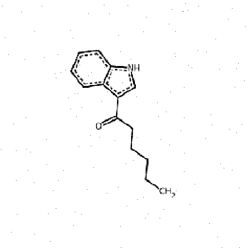 [CH2]CCCCC(=O)c1c[nH]c2ccccc12